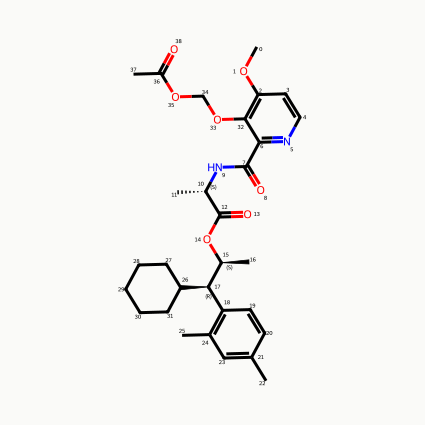 COc1ccnc(C(=O)N[C@@H](C)C(=O)O[C@@H](C)[C@@H](c2ccc(C)cc2C)C2CCCCC2)c1OCOC(C)=O